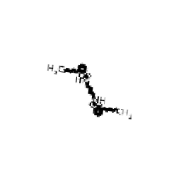 CCCCCCc1ccccc1OC(=O)NCCCCCCNC(=O)Oc1ccccc1CCCCCC